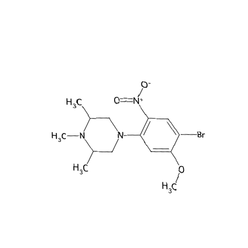 COc1cc(N2CC(C)N(C)C(C)C2)c([N+](=O)[O-])cc1Br